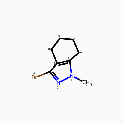 Cn1nc(Br)c2c1CCCC2